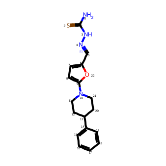 NC(=S)N/N=C/c1ccc(N2CCC(c3ccccc3)CC2)o1